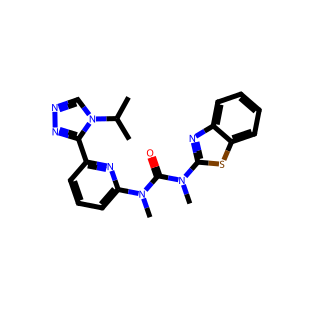 CC(C)n1cnnc1-c1cccc(N(C)C(=O)N(C)c2nc3ccccc3s2)n1